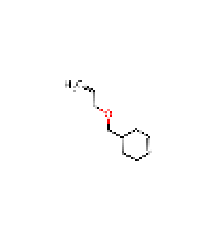 C=CCOCC1CC=CCC1